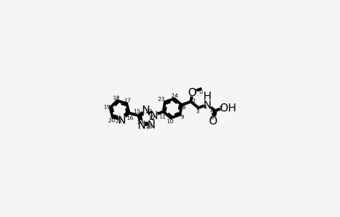 COC(CNC(=O)O)c1ccc(-n2nnc(-c3ccccn3)n2)cc1